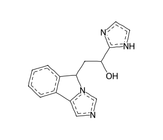 OC(CC1c2ccccc2-c2cncn21)c1ncc[nH]1